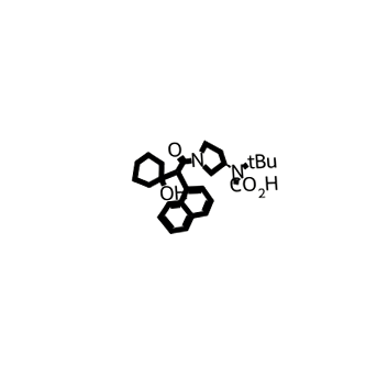 CC(C)(C)N(C(=O)O)[C@H]1CCN(C(=O)C(c2cccc3ccccc23)C2(O)CCCCC2)C1